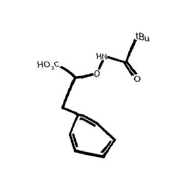 CC(C)(C)C(=O)NOC(Cc1ccccc1)C(=O)O